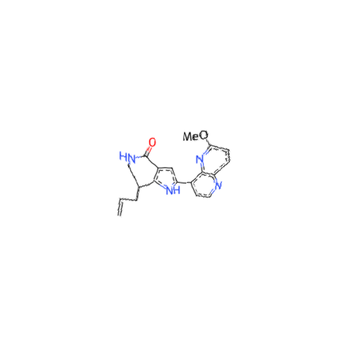 C=CCC1CNC(=O)c2cc(-c3ccnc4ccc(OC)nc34)[nH]c21